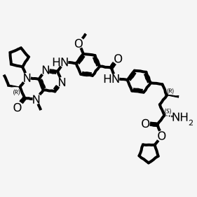 CC[C@@H]1C(=O)N(C)c2cnc(Nc3ccc(C(=O)Nc4ccc(C[C@@H](C)C[C@H](N)C(=O)OC5CCCC5)cc4)cc3OC)nc2N1C1CCCC1